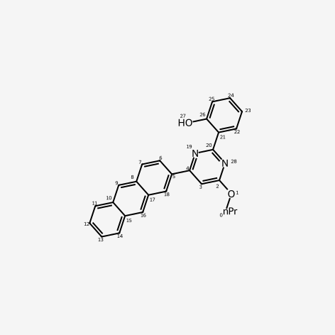 CCCOc1cc(-c2ccc3cc4ccccc4cc3c2)nc(-c2ccccc2O)n1